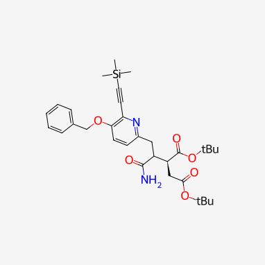 CC(C)(C)OC(=O)C[C@H](C(=O)OC(C)(C)C)C(Cc1ccc(OCc2ccccc2)c(C#C[Si](C)(C)C)n1)C(N)=O